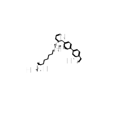 O=C(CCCCCCNS(=O)(=O)c1cccnc1-c1ccc(-c2ccc3cc[nH]c3c2)cc1)NO